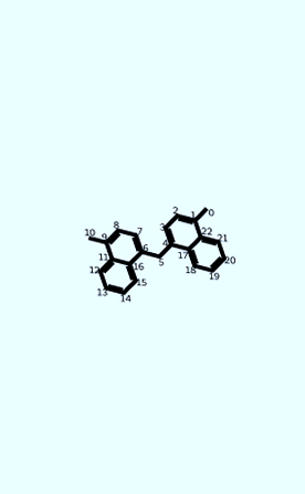 Cc1ccc(Cc2ccc(C)c3ccccc23)c2ccccc12